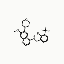 COc1cc2nccc(NCc3cccc(C(C)(F)F)c3F)c2cc1N1CCOCC1